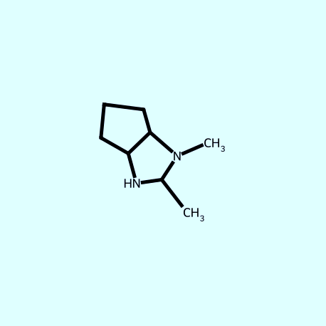 CC1NC2CCCC2N1C